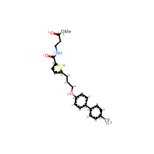 COC(=O)CCNC(=O)c1ccc(CCCOc2ccc(-c3ccc(C(F)(F)F)cc3)cc2)s1